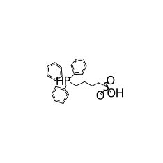 O=S(=O)(O)CCCC[PH](c1ccccc1)(c1ccccc1)c1ccccc1